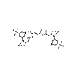 O=C(/C=C/C(=O)ONCC1CC2CC2N1c1cncc(C(F)(F)F)c1)ONCC1CC2CC2N1c1cncc(C(F)(F)F)c1